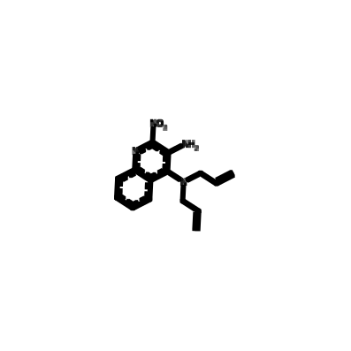 C=CCN(CC=C)c1c(N)c([N+](=O)[O-])nc2ccccc12